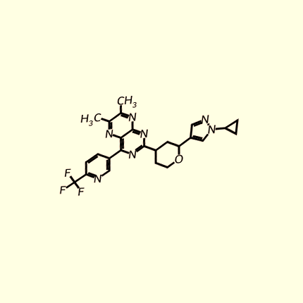 Cc1nc2nc(C3CCOC(c4cnn(C5CC5)c4)C3)nc(-c3ccc(C(F)(F)F)nc3)c2nc1C